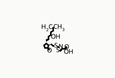 C=C(C)CC[C@H](O)C/C=C/[C@H]1CCC(=O)[C@@H]1CCSc1nc(C(=O)O)cs1